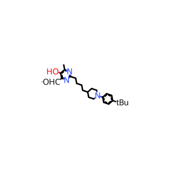 Cc1nc(CCCCC2CCN(c3ccc(C(C)(C)C)cc3)CC2)nc([C]=O)c1O